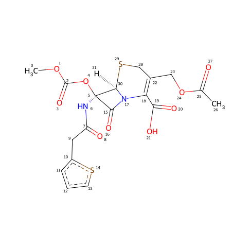 COC(=O)O[C@]1(NC(=O)Cc2cccs2)C(=O)N2C(C(=O)O)=C(COC(C)=O)CS[C@@H]21